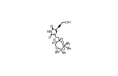 CC(C)[Si]1(C(C)C)OC[C@H]2O[C@@H](n3cc(C#CCO)c(=O)[nH]c3=O)C[C@@H]2O[Si](C(C)C)(C(C)C)O1